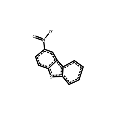 O=[N+]([O-])c1ccc2sc3ccccc3c2c1